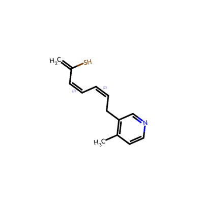 C=C(S)/C=C\C=C/Cc1cnccc1C